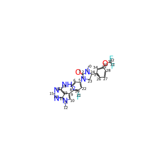 CN1C(=O)N(c2ccc(-c3cn(C)c4ncnc(N)c34)c(F)c2)CC1c1cccc(OC(F)F)c1